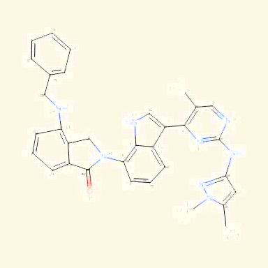 Cc1cnc(Nc2cc(C)n(C)n2)nc1-c1c[nH]c2c(N3Cc4c(NCc5ccccc5)cccc4C3=O)cccc12